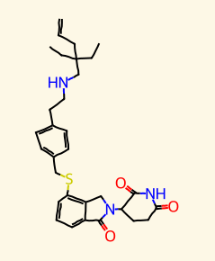 C=CCC(CC)(CC)CNCCc1ccc(CSc2cccc3c2CN(C2CCC(=O)NC2=O)C3=O)cc1